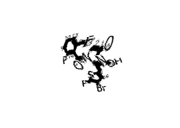 O=C1CN(C(=O)c2c(F)cccc2F)C(c2cc(Br)c(F)s2)N1O